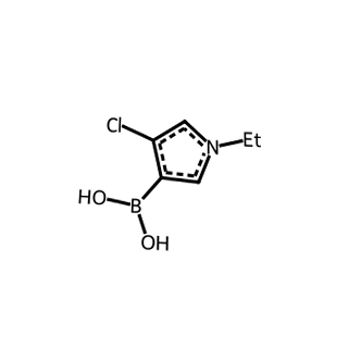 CCn1cc(Cl)c(B(O)O)c1